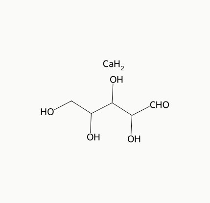 O=CC(O)C(O)C(O)CO.[CaH2]